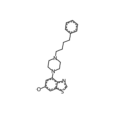 [O]c1cc(N2CCN(CCCCc3ccccc3)CC2)c2ncsc2c1